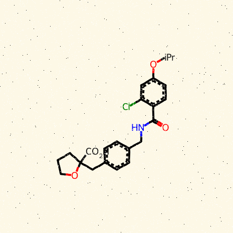 CC(C)Oc1ccc(C(=O)NCc2ccc(CC3(C(=O)O)CCCO3)cc2)c(Cl)c1